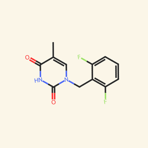 Cc1cn(Cc2c(F)cccc2F)c(=O)[nH]c1=O